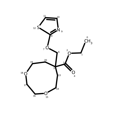 CCOC(=O)C1(COc2nccs2)CCOCCOCC1